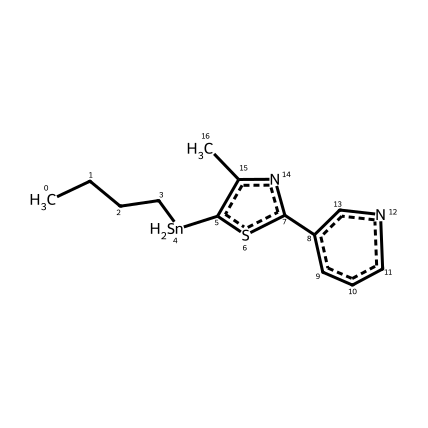 CCC[CH2][SnH2][c]1sc(-c2cccnc2)nc1C